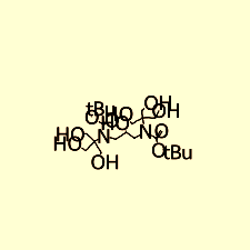 CC(C)(C)OC(=O)N(CC(O)CN(C(=O)OC(C)(C)C)C(CO)(CO)CO)C(CO)(CO)CO